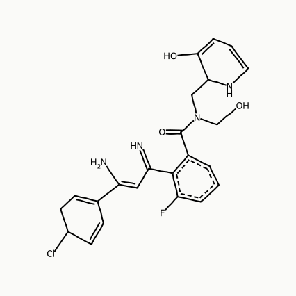 N=C(/C=C(\N)C1=CCC(Cl)C=C1)c1c(F)cccc1C(=O)N(CO)CC1NC=CC=C1O